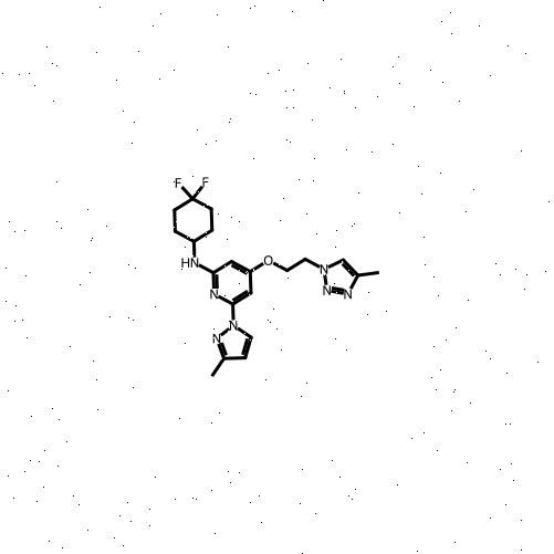 Cc1cn(CCOc2cc(NC3CCC(F)(F)CC3)nc(-n3ccc(C)n3)c2)nn1